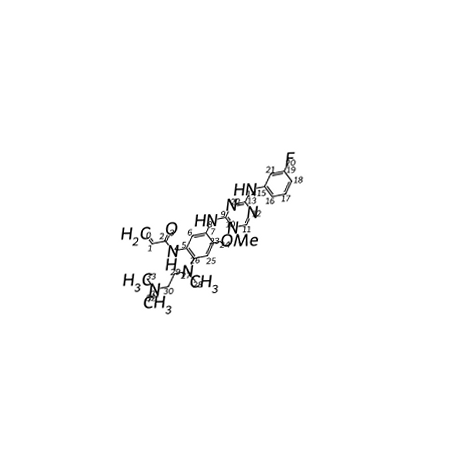 C=CC(=O)Nc1cc(Nc2ncnc(Nc3cccc(F)c3)n2)c(OC)cc1N(C)CCN(C)C